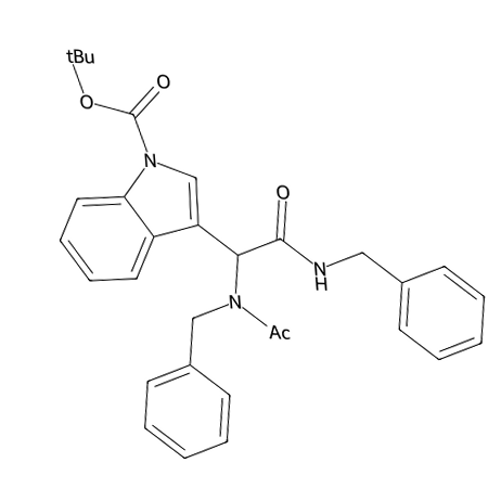 CC(=O)N(Cc1ccccc1)C(C(=O)NCc1ccccc1)c1cn(C(=O)OC(C)(C)C)c2ccccc12